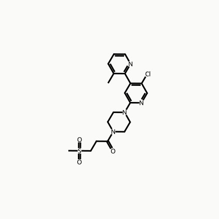 Cc1cccnc1-c1cc(N2CCN(C(=O)CCS(C)(=O)=O)CC2)ncc1Cl